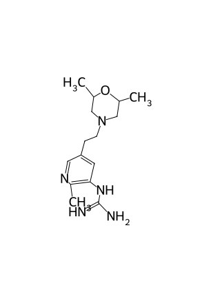 Cc1ncc(CCN2CC(C)OC(C)C2)cc1NC(=N)N